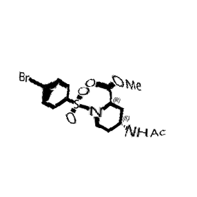 COC(=O)[C@H]1C[C@H](NC(C)=O)CCN1S(=O)(=O)c1ccc(Br)cc1